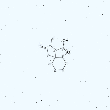 C=CCC1(C(CC)C(=O)O)CCCCC1